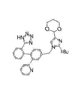 CCCCc1nc(C2OCCCO2)cn1Cc1ccc(-c2ccccc2-c2nnn[nH]2)c(-c2ccccn2)c1